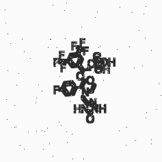 O=c1[nH]nc(CN2CCO[C@H](O[C@H](COP(=O)(O)O)c3cc(C(F)(F)F)cc(C(F)(F)F)c3)[C@@H]2c2ccc(F)cc2)[nH]1